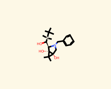 CC1(C)[C@]2(O)CN(Cc3ccccc3)[C@H](C(O)[Si](C)(C)C(C)(C)C)[C@]12O